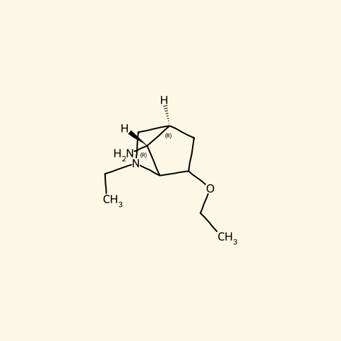 CCOC1C[C@@H]2CN(CC)C1[C@@H]2N